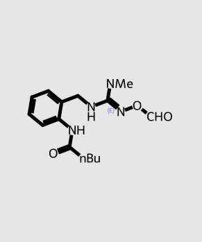 CCCCC(=O)Nc1ccccc1CN/C(=N/OC=O)NC